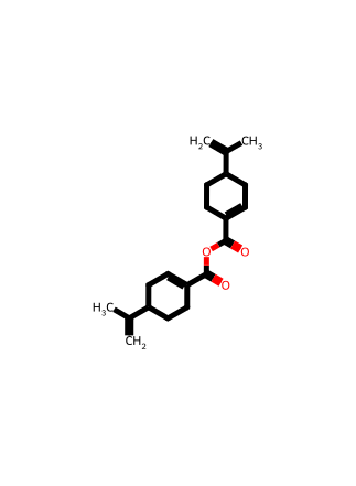 C=C(C)C1CC=C(C(=O)OC(=O)C2=CCC(C(=C)C)CC2)CC1